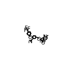 CC1CCn2c(cc(OCc3ccc(Oc4ccc(C(F)(F)F)cc4)c(C#N)c3)nc2=O)N1C